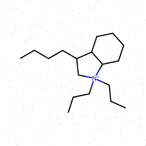 CCCCC1C[N+](CCC)(CCC)C2CCCCC12